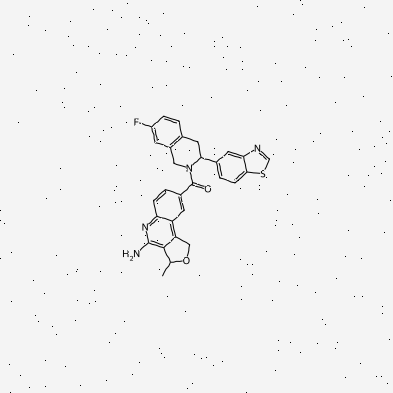 CC1OCc2c1c(N)nc1ccc(C(=O)N3Cc4cc(F)ccc4CC3c3ccc4scnc4c3)cc21